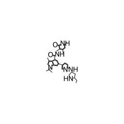 CCC1CC(Nc2ccc(-c3cc(C(=O)NCc4c(C)cc(C)[nH]c4=O)c4c(C)cn(C(C)C)c4c3)cn2)CN1